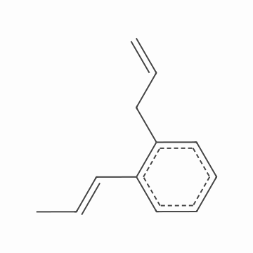 C=CCc1ccccc1C=CC